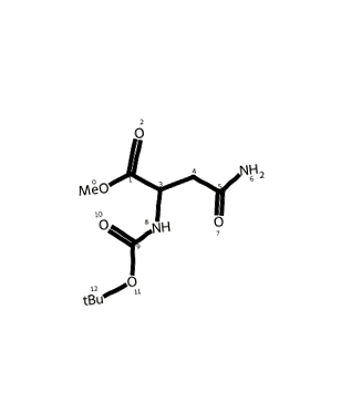 COC(=O)C(CC(N)=O)NC(=O)OC(C)(C)C